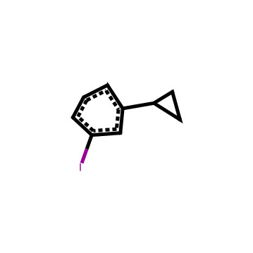 Ic1cc[c]c(C2CC2)c1